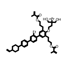 C=CC1CCC(c2ccc(-c3ccc(-c4cc(CCCOC(=O)C(=C)C)c(OCCC(CO)(CO)CCC)c(CCCOC(=O)C(=C)C)c4)c(CC)c3)cc2)CC1